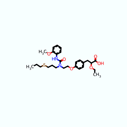 CCCSCCCN(CCOc1ccc(CC(OCC)C(=O)O)cc1)C(=O)Nc1ccccc1OC